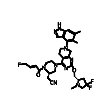 Cc1cc2[nH]ncc2c(N2CCc3c(nc(OC[C@@H]4CC(F)(F)CN4C)nc3N3CCN(C(=O)/C=C/CF)[C@@H](CC#N)C3)C2)c1C